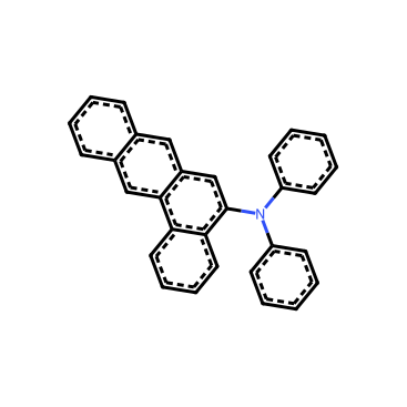 c1ccc(N(c2ccccc2)c2cc3cc4ccccc4cc3c3ccccc23)cc1